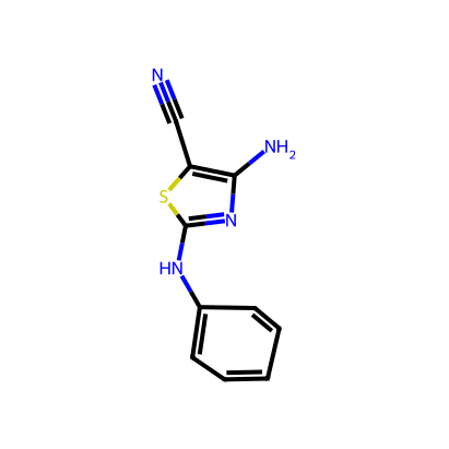 N#Cc1sc(Nc2ccccc2)nc1N